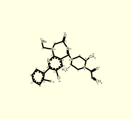 C=CC(=O)N1C[C@H](C)N(C2=NC(=O)CN(CC(C)(C)C)c3nc(-c4ccccc4F)c(Cl)cc32)C[C@H]1C